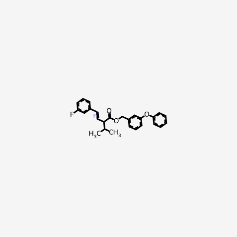 CC(C)C(/C=C/c1cccc(F)c1)C(=O)OCc1cccc(Oc2ccccc2)c1